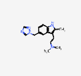 Cc1[nH]c2ccc(Cn3cncn3)cc2c1CCN(C)C